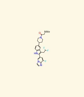 CNCC(=O)N1CCC(c2ccc3[nH]c(-c4cc(F)c5nccn5c4)c(CC(F)F)c3c2)CC1